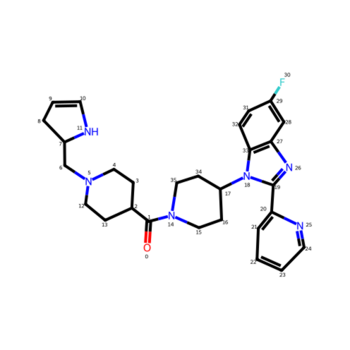 O=C(C1CCN(CC2CC=CN2)CC1)N1CCC(n2c(-c3ccccn3)nc3cc(F)ccc32)CC1